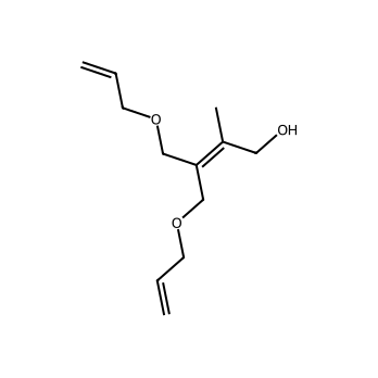 C=CCOCC(COCC=C)=C(C)CO